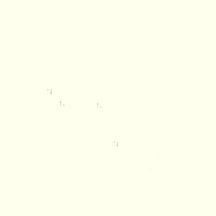 CC(=O)c1cnn2ccc(N3CCOC(C)(C)C3)nc12